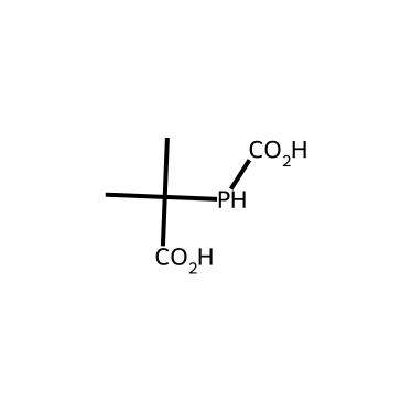 CC(C)(PC(=O)O)C(=O)O